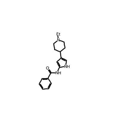 CCN1CCC(c2c[nH]c(NC(=O)c3ccccc3)c2)CC1